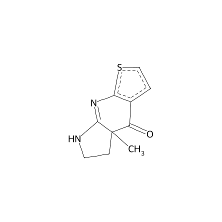 CC12CCNC1=Nc1sccc1C2=O